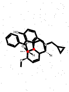 CO[C@]12C=C[C@@]3(C[C@]1(C)[C@H](O)c1ccccc1)[C@H]1Cc4ccc(O)c5c4[C@@]3(CCN1CC1CC1)[C@H]2O5